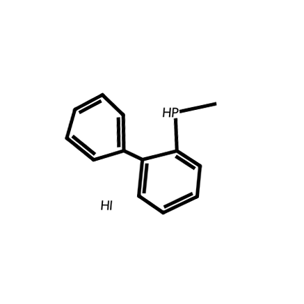 CPc1ccccc1-c1ccccc1.I